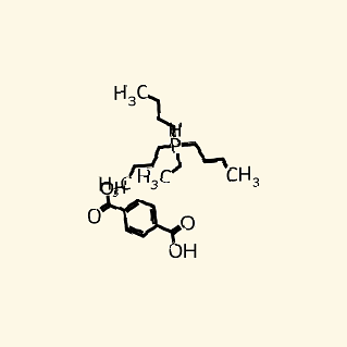 CCCC[PH](CC)(CCCC)CCCC.O=C(O)c1ccc(C(=O)O)cc1